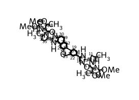 COC(=O)N[C@H](C(=O)N1C[C@@H](C)C[C@H]1c1ncc(-c2ccc3c(c2)COc2cc4c(ccc5nc([C@@H]6CC[C@H](C)N6C(=O)[C@@H](NC(=O)OC)[C@@H](C)OC)[nH]c54)cc2-3)[nH]1)[C@@H](C)OC